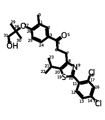 Cc1cc(C(=O)CCc2nc(-c3ccc(Cl)cc3Cl)sc2C(C)C)ccc1OC(C)(C)CO